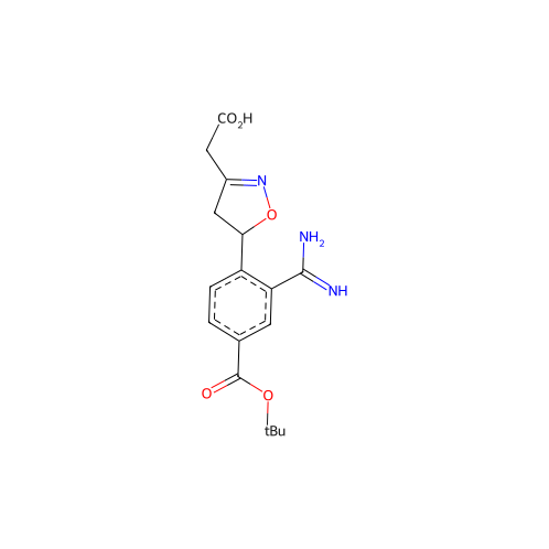 CC(C)(C)OC(=O)c1ccc(C2CC(CC(=O)O)=NO2)c(C(=N)N)c1